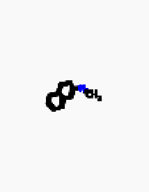 C=Nc1ccc2ccccc2c1